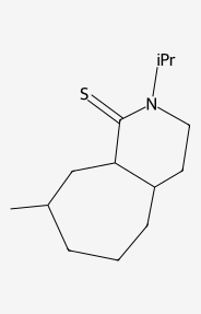 CC1CCCC2CCN(C(C)C)C(=S)C2C1